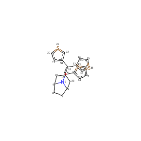 c1csc(CN2C3CCC2CC(=C(c2ccsc2)c2ccsc2)C3)c1